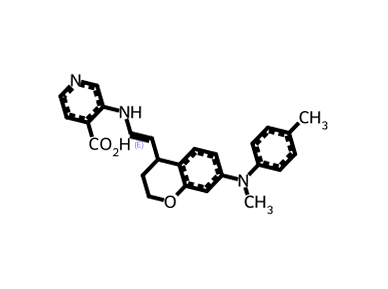 Cc1ccc(N(C)c2ccc3c(c2)OCCC3/C=C/Nc2cnccc2C(=O)O)cc1